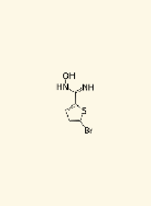 N=C(NO)c1ccc(Br)s1